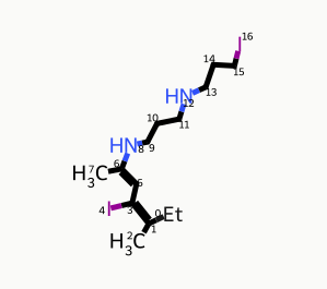 CC/C(C)=C(I)\C=C(/C)NCCCNCCCI